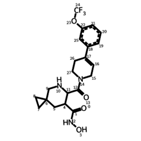 O=C(NO)C1CC2(CC2)CNC1C(=O)N1CC=C(c2cccc(OC(F)(F)F)c2)CC1